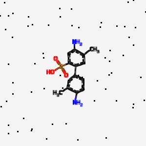 Cc1cc(-c2cc(C)c(N)cc2S(=O)(=O)O)ccc1N